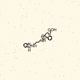 O=C(O)CN1CCC(=O)N(CC(=O)NCCCCCNc2nc3ccccc3[nH]2)c2ccccc21